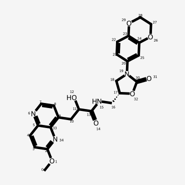 COc1ccc2nccc(CC(O)C(=O)NC[C@@H]3CN(c4ccc5c(c4)OCCO5)C(=O)O3)c2n1